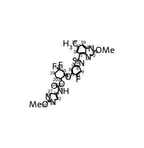 COc1cnc2c(-c3nc4cc(F)c(O[C@@H]5CC(F)(F)CCC5OC(=O)Nc5cnc(OC)nc5)cc4s3)cc(C)cc2n1